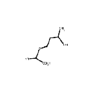 CCCC(SCCC(C)O)C(=O)O